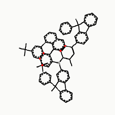 CC1CC(c2ccc3c(c2)C(C)(c2ccccc2)c2ccccc2-3)C=CC1N(c1ccc2c(c1)C(C)(c1ccccc1)c1ccccc1-2)c1ccccc1-c1cccc2cccc(-c3cc(C(C)(C)C)cc(C(C)(C)C)c3)c12